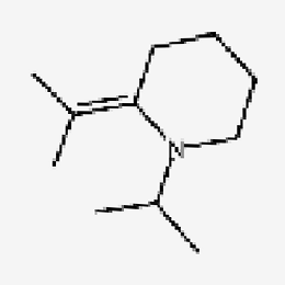 CC(C)=C1CCCCN1C(C)C